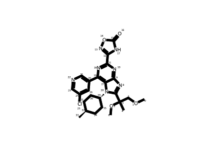 COCC(C)(OC)c1nc2nc(-c3noc(=O)[nH]3)nc(-c3cncc(Cl)c3)c2n1[C@H]1CC[C@H](C)CC1